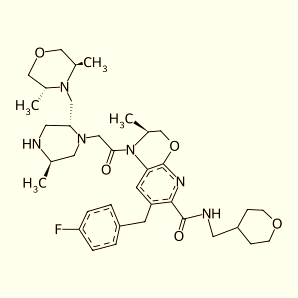 C[C@@H]1CN(CC(=O)N2c3cc(Cc4ccc(F)cc4)c(C(=O)NCC4CCOCC4)nc3OC[C@@H]2C)[C@@H](CN2[C@H](C)COC[C@H]2C)CN1